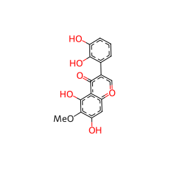 COc1c(O)cc2occ(-c3cccc(O)c3O)c(=O)c2c1O